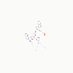 CCCCCCN(CCCCCC)c1ccc(OC2=C(/C=C/C3=[N+](CCCCS(=O)(=O)[O-])c4ccc5ccccc5c4C3(C)C)CCC/C2=C\C=C2\N(CCCCC)c3ccc4ccccc4c3C2(C)C)cc1